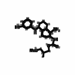 COCC(C)COC(=O)Nc1ccc2c(c1N)CCCC2Nc1cccc(S)c1